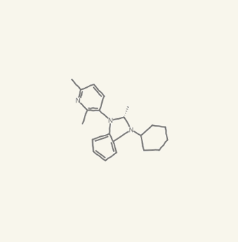 Cc1ccc(N2c3ccccc3N(C3CCCCC3)[C@H]2C)c(C)n1